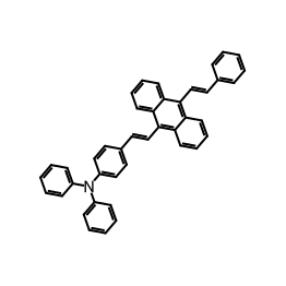 C(=Cc1c2ccccc2c(C=Cc2ccc(N(c3ccccc3)c3ccccc3)cc2)c2ccccc12)c1ccccc1